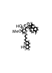 CO[C@H](CF)CN(CCCCc1ccc2c(n1)NCCC2)CC[C@H](NC(=O)C1(c2ncnc3c(F)cccc23)CC1)C(=O)O